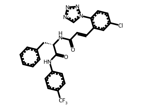 O=C(/C=C/c1cc(Cl)ccc1-n1cnnn1)N[C@@H](Cc1ccccc1)C(=O)Nc1ccc(C(F)(F)F)cc1